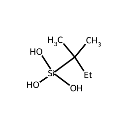 CCC(C)(C)[Si](O)(O)O